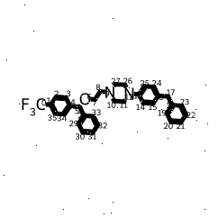 FC(F)(F)c1ccc(C(OCCN2CCN(c3ccc(Cc4ccccc4)cc3)CC2)c2ccccc2)cc1